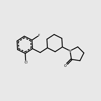 O=C1CCCN1C1CCCC(Cc2c(F)cccc2Cl)C1